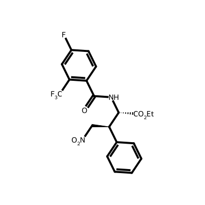 CCOC(=O)[C@@H](NC(=O)c1ccc(F)cc1C(F)(F)F)[C@H](C[N+](=O)[O-])c1ccccc1